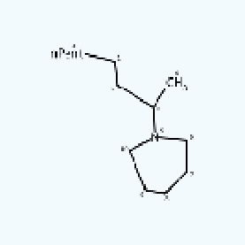 CCCCCCCC(C)N1CCCCC1